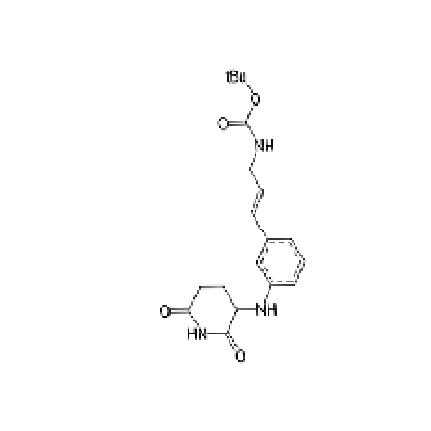 CC(C)(C)OC(=O)NC/C=C/c1cccc(NC2CCC(=O)NC2=O)c1